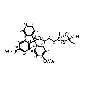 [CH2]CC(C)(C)SSCCCOC(c1ccccc1)(c1ccc(OC)cc1)c1ccc(OC)cc1